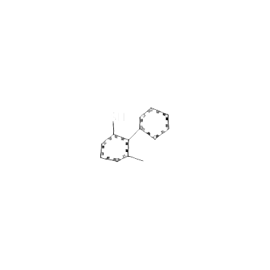 Cc1cccc(S)c1-c1ccccc1